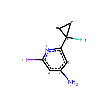 Nc1cc(I)nc(C2(F)CC2)c1